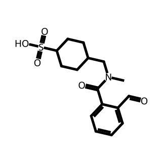 CN(CC1CCC(S(=O)(=O)O)CC1)C(=O)c1ccccc1C=O